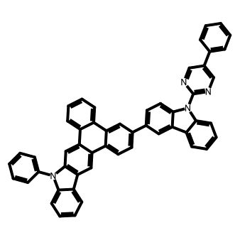 c1ccc(-c2cnc(-n3c4ccccc4c4cc(-c5ccc6c(c5)c5ccccc5c5cc7c(cc65)c5ccccc5n7-c5ccccc5)ccc43)nc2)cc1